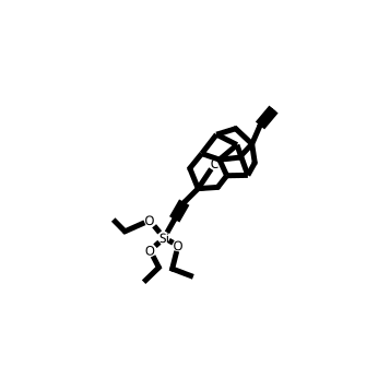 C#CC12CC3C4CC5(C#C[Si](OCC)(OCC)OCC)CC3C(C1)C(C5)C4C2